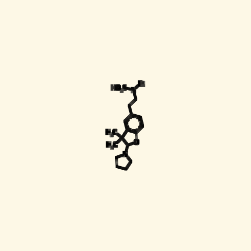 CCN(CCc1ccc2c(c1)C(C)(C)C(N1CCCC1)O2)S(=O)(=O)O